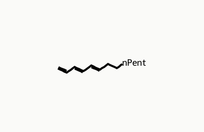 C=CC=CC=CCCCCCCC